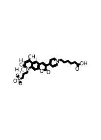 CC1=CC(C)(C)N(CCCS(=O)(=O)[O-])c2cc3oc(=O)c(-c4cc[n+](CCCCCC(=O)O)cc4)cc3cc21